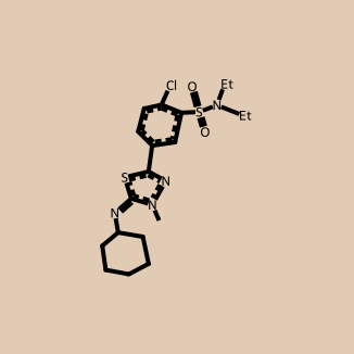 CCN(CC)S(=O)(=O)c1cc(-c2nn(C)/c(=N\C3CCCCC3)s2)ccc1Cl